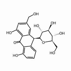 O=C1c2c(O)cccc2[C@H](C2O[C@H](CO)[C@@H](O)[C@H](O)[C@H]2O)c2cc(CO)cc(O)c21